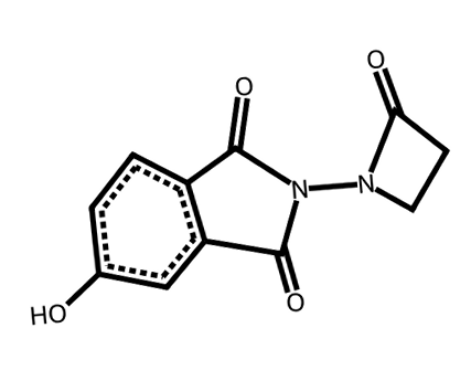 O=C1CCN1N1C(=O)c2ccc(O)cc2C1=O